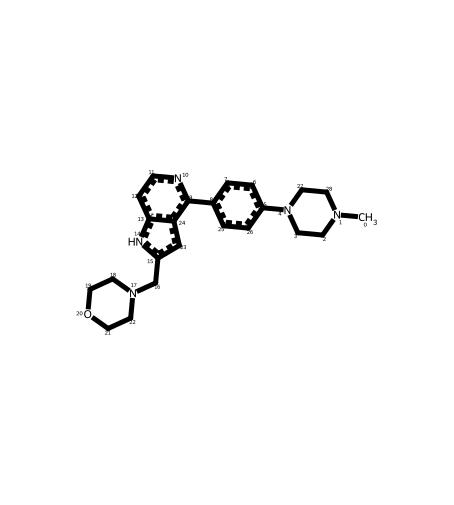 CN1CCN(c2ccc(-c3nccc4[nH]c(CN5CCOCC5)cc34)cc2)CC1